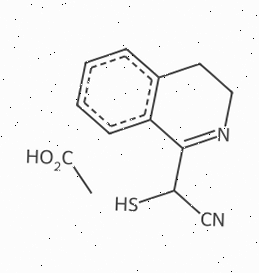 CC(=O)O.N#CC(S)C1=NCCc2ccccc21